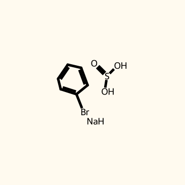 Brc1ccccc1.O=S(O)O.[NaH]